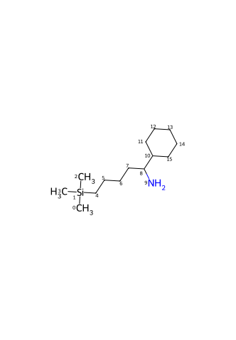 C[Si](C)(C)CCCCC(N)C1CCCCC1